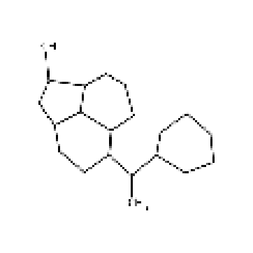 CC1CC2CCC(C(C)C3CCCCC3)C3CCCC1C23